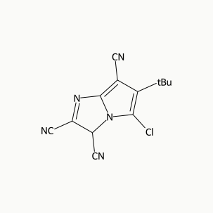 CC(C)(C)c1c(C#N)c2n(c1Cl)C(C#N)C(C#N)=N2